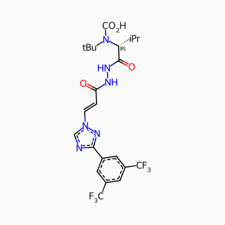 CC(C)[C@H](C(=O)NNC(=O)C=Cn1cnc(-c2cc(C(F)(F)F)cc(C(F)(F)F)c2)n1)N(C(=O)O)C(C)(C)C